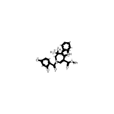 CC(C)OC(=O)C1=CN(C(=O)c2ccc(Cl)cc2Cl)CC(C)(C)c2c1[nH]c1ccccc21